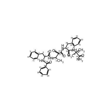 CC(NC(=O)C(Cc1ccccc1)NC(=O)c1ccccc1)C(=O)C(=O)NC(Cc1ccccc1)C(=O)NC(C)(C)C(N)=O